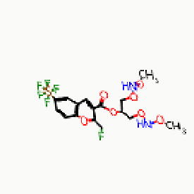 CONOCC(CONOC)OC(=O)C1=Cc2cc(S(F)(F)(F)(F)F)ccc2OC1CF